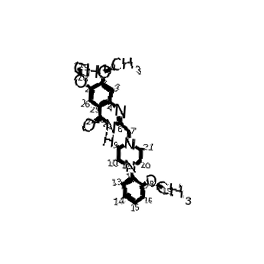 COc1cc2nc(CN3CCN(c4ccccc4OC)CC3)[nH]c(=O)c2cc1OC